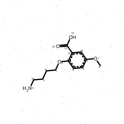 COc1ccc(OCCCCN)c(C(=O)O)c1